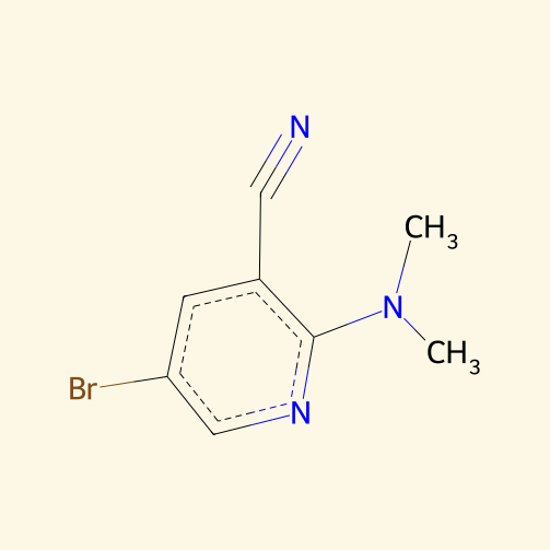 CN(C)c1ncc(Br)cc1C#N